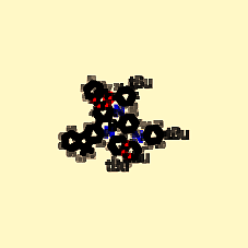 CC(C)(C)c1ccc(N2B3c4cc(N(c5ccc(C(C)(C)C)cc5)c5ccc(C(C)(C)C)cc5)ccc4N(c4ccc(C(C)(C)C)cc4-c4ccccc4)c4c3c(cc3c4oc4ccccc43)-c3cc4c(cc32)C(C)(C)c2ccccc2-4)cc1